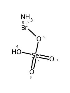 N.O=[Se](=O)(O)OBr